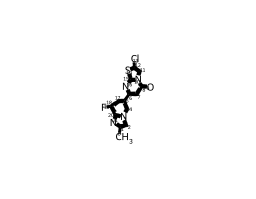 Cc1cn2cc(-c3cc(=O)n4cc(Cl)sc4n3)cc(F)c2n1